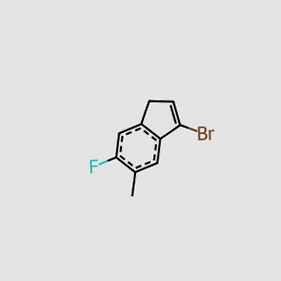 Cc1cc2c(cc1F)CC=C2Br